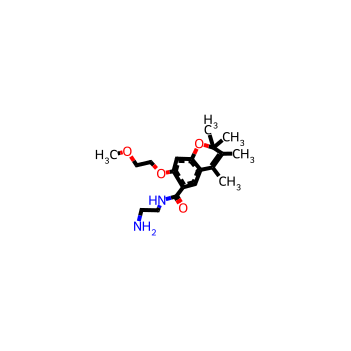 COCCOc1cc2c(cc1C(=O)NCCN)C(C)=C(C)C(C)(C)O2